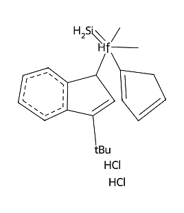 CC(C)(C)C1=C[CH]([Hf]([CH3])([CH3])(=[SiH2])[C]2=CC=CC2)c2ccccc21.Cl.Cl